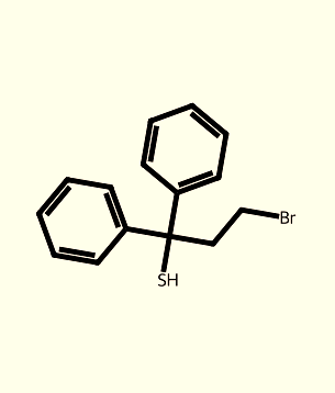 SC(CCBr)(c1ccccc1)c1ccccc1